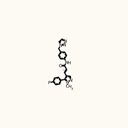 Cn1ncc(/C=C/C(=O)Nc2ccc(Cn3ccnn3)cc2)c1-c1ccc(F)cc1